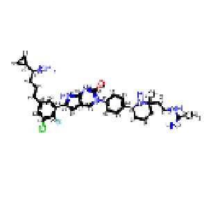 CC(=N)NCCC1(C)CCC[C@@H](c2ccc(-n3cc4cc(-c5cc(CCCC(N)C6CC6)cc(Cl)c5F)[nH]c4nc3=O)cc2)N1